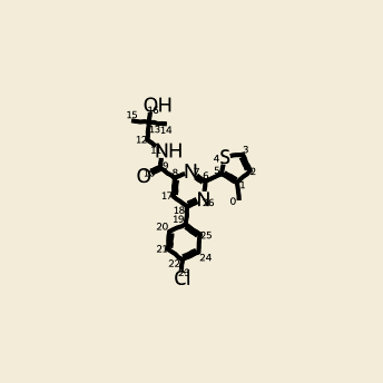 Cc1ccsc1-c1nc(C(=O)NCC(C)(C)O)cc(-c2ccc(Cl)cc2)n1